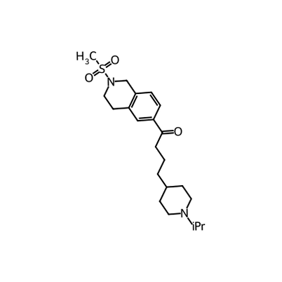 CC(C)N1CCC(CCCC(=O)c2ccc3c(c2)CCN(S(C)(=O)=O)C3)CC1